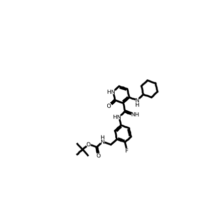 CC(C)(C)OC(=O)NCc1cc(NC(=N)c2c(NC3CCCCC3)cc[nH]c2=O)ccc1F